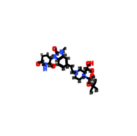 Cn1c(=O)n(C2CCC(=O)NC2=O)c2ccc(CCN3CCN(C(=O)OC(C)(C)C)[C@H](C(=O)O)C3)cc21